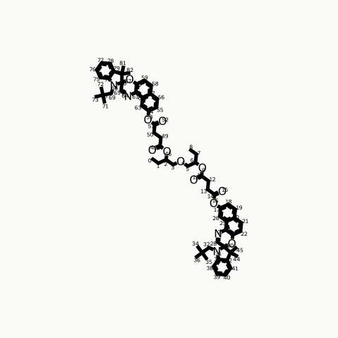 CCC(COCC(CC)OC(=O)CCC(=O)Oc1ccc2ccc3c(c2c1)N=CC1(O3)N(CC(C)(C)C)c2ccccc2C1(C)C)OC(=O)CCC(=O)Oc1ccc2ccc3c(c2c1)N=CC1(O3)N(CC(C)(C)C)c2ccccc2C1(C)C